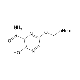 CCCCCCCCOc1cnc(O)c(C(N)=O)n1